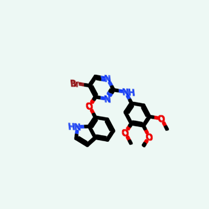 COc1cc(Nc2ncc(Br)c(Oc3cccc4cc[nH]c34)n2)cc(OC)c1OC